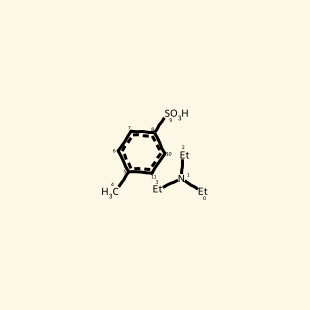 CCN(CC)CC.Cc1ccc(S(=O)(=O)O)cc1